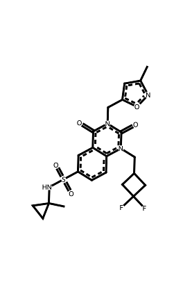 Cc1cc(Cn2c(=O)c3cc(S(=O)(=O)NC4(C)CC4)ccc3n(CC3CC(F)(F)C3)c2=O)on1